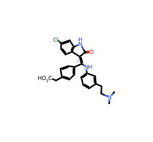 CN(C)CCc1cccc(N/C(=C2\C(=O)Nc3cc(Cl)ccc32)c2ccc(CC(=O)O)cc2)c1